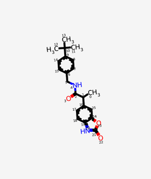 CC(C(=O)NCc1ccc(C(C)(C)C)cc1)c1ccc2[nH]c(=O)oc2c1